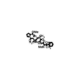 CN[C@H](C(=O)N[C@H](C(=O)N(C)[C@H](CN(C)CC(=O)N1CCC[C@H]1C(=O)OC)C(C)C)C(C)(C)C)C(C)(C)c1ccccc1